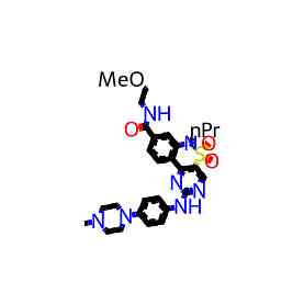 CCCN1c2cc(C(=O)NCCOC)ccc2-c2nc(Nc3ccc(N4CCN(C)CC4)cc3)ncc2S1(=O)=O